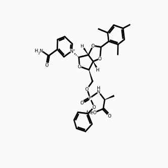 COC(=O)[C@H](C)NP(=O)(OC[C@H]1O[C@H]([n+]2cccc(C(N)=O)c2)[C@@H]2OC(c3c(C)cc(C)cc3C)O[C@@H]21)Oc1ccccc1